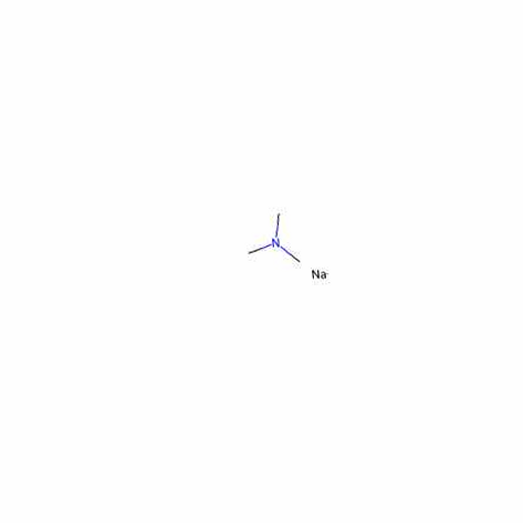 CN(C)C.[Na]